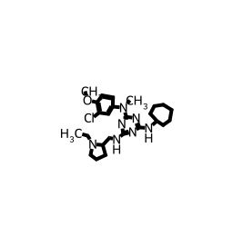 CCN1CCCC1CNc1nc(NC2CCCCCC2)nc(N(C)c2ccc(OC)c(Cl)c2)n1